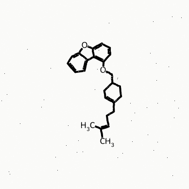 CC(C)=CCCC1=CCC(COc2cccc3oc4ccccc4c23)CC1